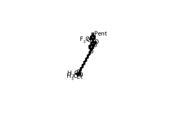 CCCCCc1ccc(-c2cc3ccc(OCCCCCCCCCCCCOC(=O)C(C)(C)CC)cc3oc2=O)c(OC(F)(F)F)c1